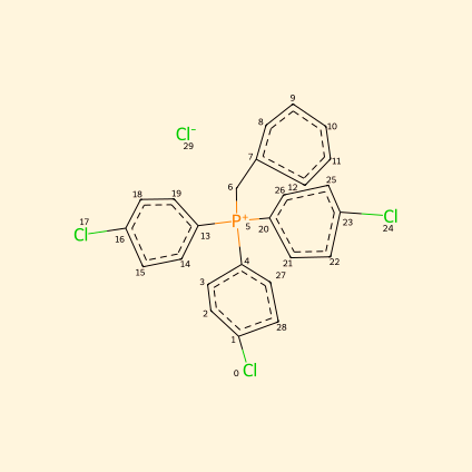 Clc1ccc([P+](Cc2ccccc2)(c2ccc(Cl)cc2)c2ccc(Cl)cc2)cc1.[Cl-]